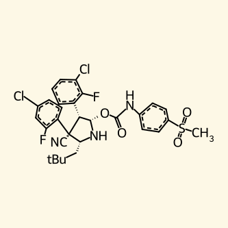 CC(C)(C)C[C@H]1N[C@@H](OC(=O)Nc2ccc(S(C)(=O)=O)cc2)[C@@H](c2cccc(Cl)c2F)[C@]1(C#N)c1ccc(Cl)cc1F